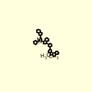 CC1(C)c2ccc(-c3cccc(-c4ccc(-c5cc(-c6ccc7ccccc7c6)nc(-c6ccccc6)n5)c5ccccc45)c3)cc2-c2c1ccc1ccccc21